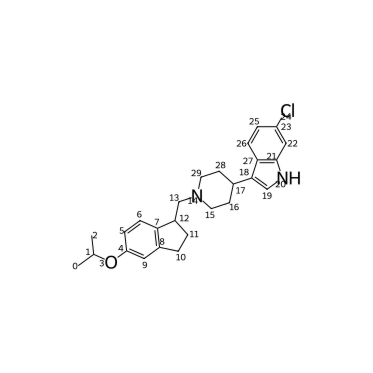 CC(C)Oc1ccc2c(c1)CCC2CN1CCC(c2c[nH]c3cc(Cl)ccc23)CC1